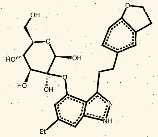 CCc1cc(O[C@]2(O)[C@H](O)O[C@H](CO)[C@@H](O)[C@@H]2O)c2c(CCc3ccc4c(c3)CCO4)n[nH]c2c1